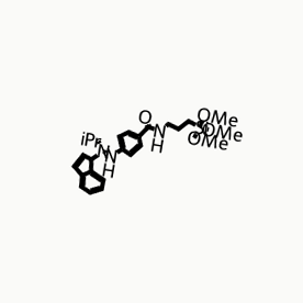 CO[Si](CCCNC(=O)c1ccc(NN(C(C)C)C2C=Cc3ccccc32)cc1)(OC)OC